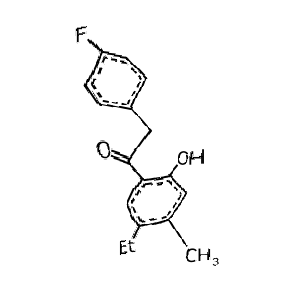 CCc1cc(C(=O)Cc2ccc(F)cc2)c(O)cc1C